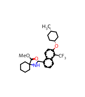 COC(=O)C1(NCc2cccc3c(C(F)(F)F)c(O[C@H]4CC[C@@H](C)CC4)ccc23)CCCCC1